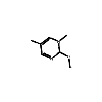 [CH2]OC1N=CC(C)=CN1C